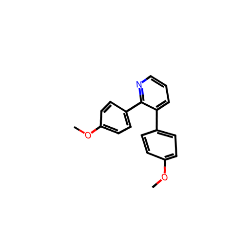 COc1ccc(-c2cccnc2-c2ccc(OC)cc2)cc1